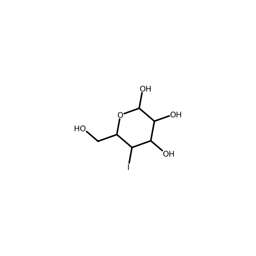 OCC1OC(O)C(O)C(O)C1I